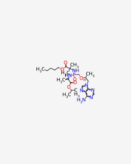 CCCCCOC(=O)C(C)(C)NP(=O)(CO[C@@H](C)Cn1cnc2c(N)ncnc21)N[C@H](C)C(=O)OC(C)C